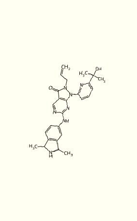 C=CCn1c(=O)c2cnc(Nc3ccc4c(c3)C(C)NC4C)nc2n1-c1cccc(C(C)(C)O)n1